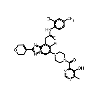 CCc1c(N2CCN(C(=O)c3ncnc(C)c3O)CC2)cn2nc(C3=CCOCC3)nc2c1CC(=O)Nc1ccc(C(F)(F)F)cc1Cl